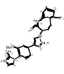 COc1cc(-c2cn(C3CCc4c(F)cccc4NC3=O)nn2)ccc1-n1ccnc1C